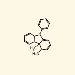 CC12C(=CC=CC1N)N(c1ccccc1)C1C=CC=CC12